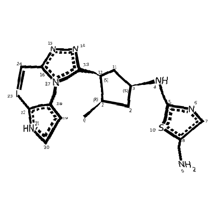 C[C@@H]1C[C@H](Nc2ncc(N)s2)C[C@@H]1c1nnc2n1-c1cc[nH]c1I=C2